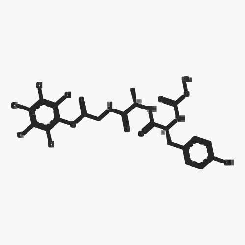 C[C@@H](NC(=O)[C@H](Cc1ccc(O)cc1)NC(=O)OC(C)(C)C)C(=O)NCC(=O)Oc1c(Cl)c(Cl)c(Cl)c(Cl)c1Cl